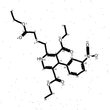 CCOC(=O)CSCC1=C(C(=O)OCC)C(c2cccc([N+](=O)[O-])c2)C(C(=O)OCC)=CN1